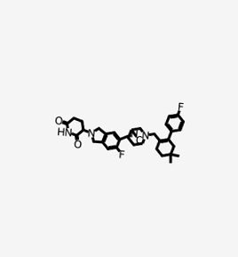 CC1(C)CCC(CN2CC3CCC2CN3c2cc3c(cc2F)CN(C2CCC(=O)NC2=O)C3)=C(c2ccc(F)cc2)C1